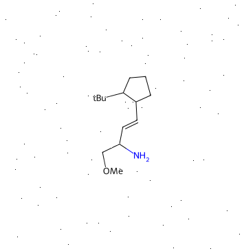 COCC(N)C=CC1CCCC1C(C)(C)C